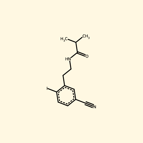 CC(C)C(=O)NCCc1cc(C#N)ccc1I